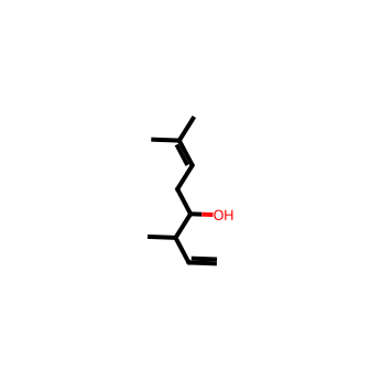 C=C[C](C)C(O)CC=C(C)C